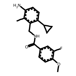 COc1ccc(C(=O)NCc2c(C3CC3)ccc(N)c2C)cc1F